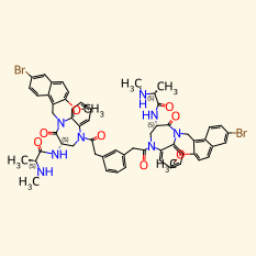 CN[C@@H](C)C(=O)N[C@H]1CN(C(=O)Cc2cccc(CC(=O)N3C[C@H](NC(=O)[C@H](C)NC)C(=O)N(Cc4c(OC)ccc5cc(Br)ccc45)c4ccccc43)c2)c2ccccc2N(Cc2c(OC)ccc3cc(Br)ccc23)C1=O